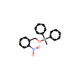 C[Si](OCc1ccccc1[N+](=O)[O-])(c1ccccc1)c1ccccc1